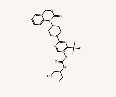 CCC(CO)NC(=O)Oc1cnc(N2CCC(N3C(=O)OCc4ccccc43)CC2)nc1C(F)(F)F